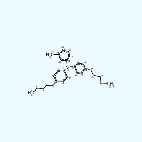 CCCCCc1ccc(N(c2ccc(CCCCC)cc2)c2ccnc(C)c2)cc1